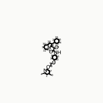 Cc1cc(C)nc(OCCOc2ccc(NC(=O)C(=O)c3c(-c4ccccc4)cc4ccccn34)cc2)c1